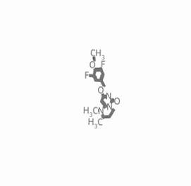 CCOc1c(F)cc(COc2cc3n(c(=O)n2)CCC(C)N3C)cc1F